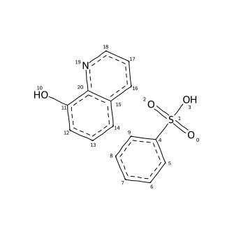 O=S(=O)(O)c1ccccc1.Oc1cccc2cccnc12